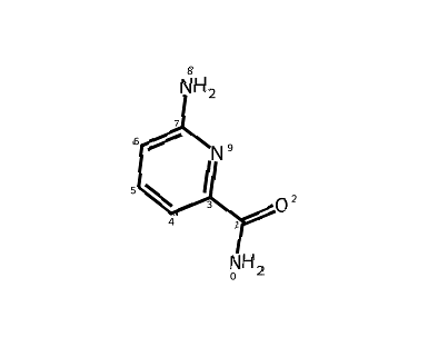 NC(=O)c1[c]ccc(N)n1